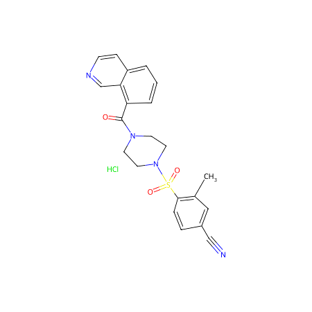 Cc1cc(C#N)ccc1S(=O)(=O)N1CCN(C(=O)c2cccc3ccncc23)CC1.Cl